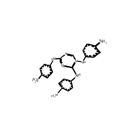 Nc1ccc(NC2=NC(Nc3ccc(N)cc3)N(Nc3ccc(N)cc3)C=N2)cc1